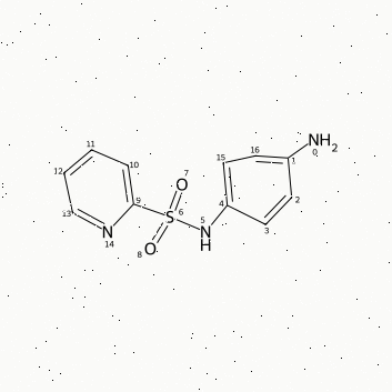 Nc1ccc(NS(=O)(=O)c2ccccn2)cc1